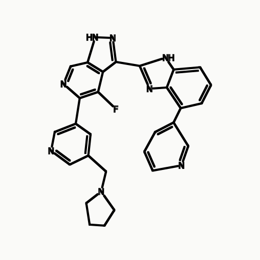 Fc1c(-c2cncc(CN3CCCC3)c2)ncc2[nH]nc(-c3nc4c(-c5cccnc5)cccc4[nH]3)c12